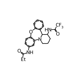 CCC(=O)Nc1ccc2c(c1)N1CCCC(NC(=O)C(F)(F)F)C1c1ccccc1O2